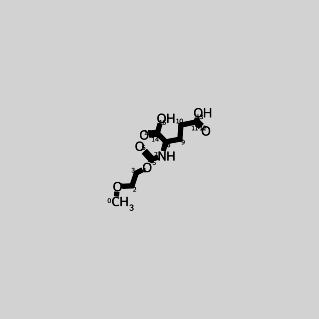 COCCOC(=O)NC(CCC(=O)O)C(=O)O